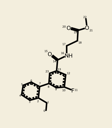 CCc1ccccc1-c1cc(F)cc(C(=O)NCCC(=O)OC)c1